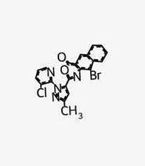 Cc1cc(-c2nc3c(Br)c4ccccc4cc3c(=O)o2)n(-c2ncccc2Cl)n1